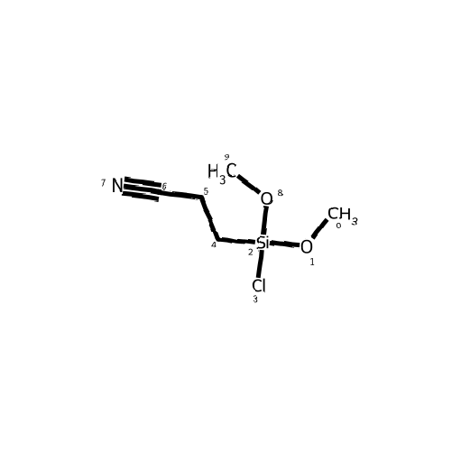 CO[Si](Cl)(CCC#N)OC